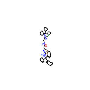 O=C(Cc1csc(NC(c2ccccc2)(c2ccccc2)c2ccccc2)n1)NCCc1cn(C(c2ccccc2)(c2ccccc2)c2ccccc2)c(F)n1